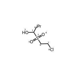 CC(C)C(O)S(=O)(=O)CCCl